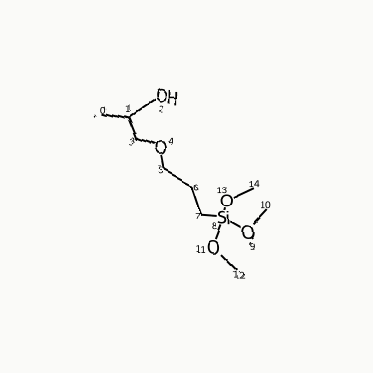 [CH2]C(O)COCCC[Si](OC)(OC)OC